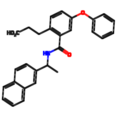 CC(NC(=O)c1cc(Oc2ccccc2)ccc1CCC(=O)O)c1ccc2ccccc2c1